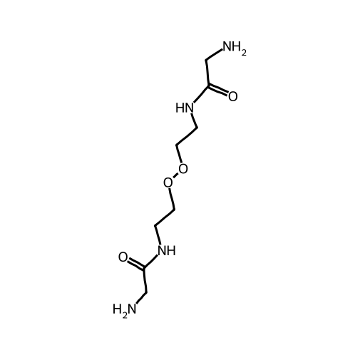 NCC(=O)NCCOOCCNC(=O)CN